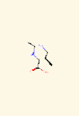 C=CCN.CCNCC(=O)O